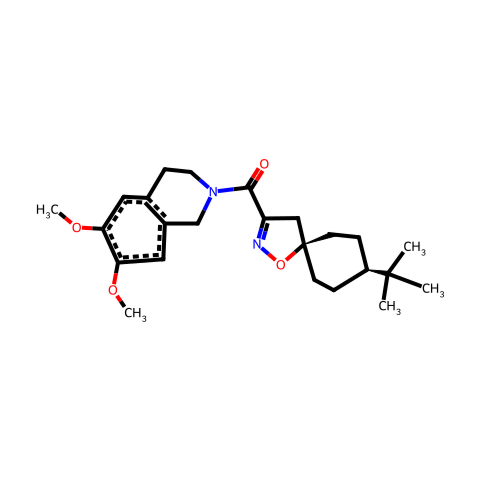 COc1cc2c(cc1OC)CN(C(=O)C1=NO[C@]3(CC[C@@H](C(C)(C)C)CC3)C1)CC2